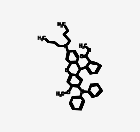 CCCCN(CCCC)c1ccc2c(c1)Oc1cc(OC)c(N(c3ccccc3)c3ccccc3)cc1C2c1ccccc1C(=O)OC